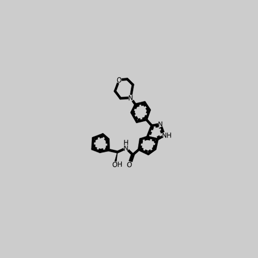 O=C(N[C@@H](O)c1ccccc1)c1ccc2[nH]nc(-c3ccc(N4CCOCC4)cc3)c2c1